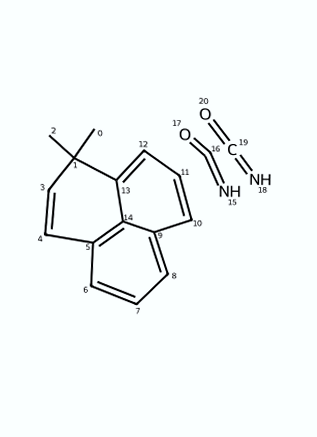 CC1(C)C=Cc2cccc3cccc1c23.N=C=O.N=C=O